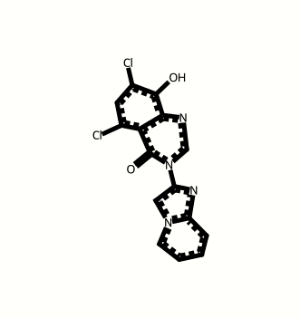 O=c1c2c(Cl)cc(Cl)c(O)c2ncn1-c1cn2ccccc2n1